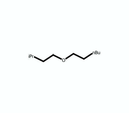 CCCCCCO[CH]CC(C)C